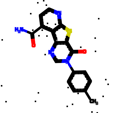 Cc1ccc(-n2cnc3c(sc4nccc(C(N)=O)c43)c2=O)cc1